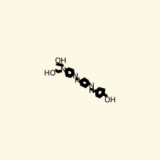 OCCN(CCO)c1ccc(N=Nc2ccc(N=Nc3ccc(CO)cc3)cc2)cc1